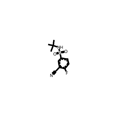 CC(C)(C)NS(=O)(=O)c1ccc(F)c(C#N)c1